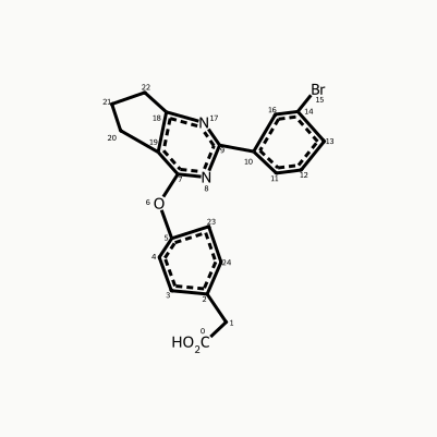 O=C(O)Cc1ccc(Oc2nc(-c3cccc(Br)c3)nc3c2CCC3)cc1